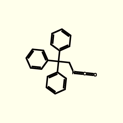 O=C=NCC(c1ccccc1)(c1ccccc1)c1ccccc1